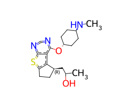 CN[C@H]1CC[C@H](Oc2ncnc3sc4c(c23)[C@@H](CC(C)O)CC4)CC1